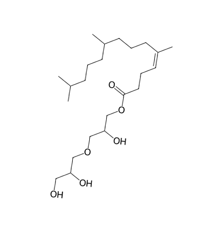 CC(=CCCC(=O)OCC(O)COCC(O)CO)CCCC(C)CCCC(C)C